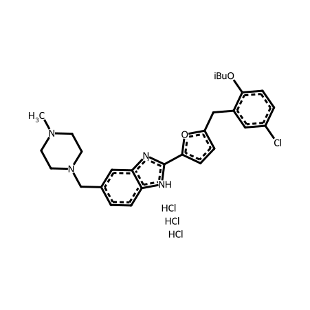 CC(C)COc1ccc(Cl)cc1Cc1ccc(-c2nc3cc(CN4CCN(C)CC4)ccc3[nH]2)o1.Cl.Cl.Cl